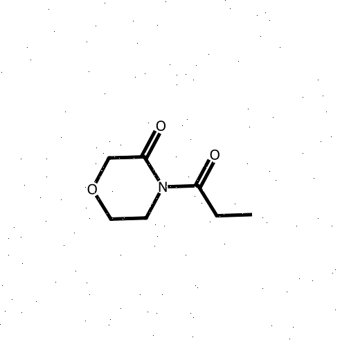 CCC(=O)N1CCOCC1=O